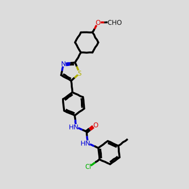 Cc1ccc(Cl)c(NC(=O)Nc2ccc(-c3cnc(C4CCC(OC=O)CC4)s3)cc2)c1